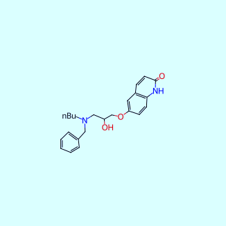 CCCCN(Cc1ccccc1)CC(O)COc1ccc2[nH]c(=O)ccc2c1